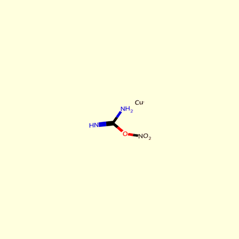 N=C(N)O[N+](=O)[O-].[Cu]